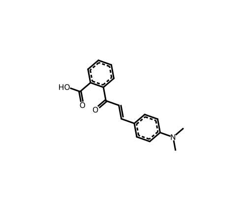 CN(C)c1ccc(C=CC(=O)c2ccccc2C(=O)O)cc1